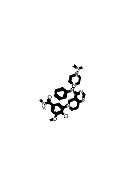 CNC(=O)c1cc(OC)c(Cl)c(N2CCc3ncnc(N(c4ccccc4)N4CCN(N(C)C)CC4)c3C2)c1